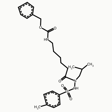 Cc1ccc(S(=O)(=O)NN(CC(C)C)C(=O)CCCCCNC(=O)OCc2ccccc2)cc1